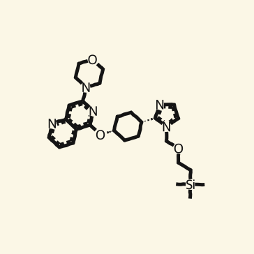 C[Si](C)(C)CCOCn1ccnc1[C@H]1CC[C@@H](Oc2nc(N3CCOCC3)cc3ncccc23)CC1